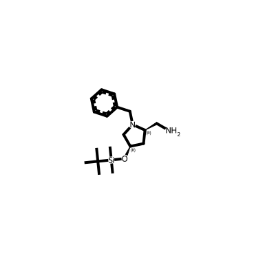 CC(C)(C)[Si](C)(C)O[C@@H]1C[C@H](CN)N(Cc2ccccc2)C1